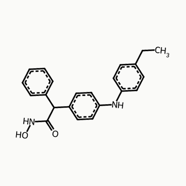 CCc1ccc(Nc2ccc(C(C(=O)NO)c3ccccc3)cc2)cc1